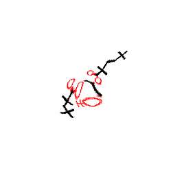 CC(C)(C)CCC(C)(C)C(=O)OC(CO)COC(=O)C(C)(C)CC(C)(C)C